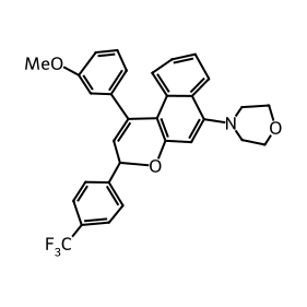 COc1cccc(C2=CC(c3ccc(C(F)(F)F)cc3)Oc3cc(N4CCOCC4)c4ccccc4c32)c1